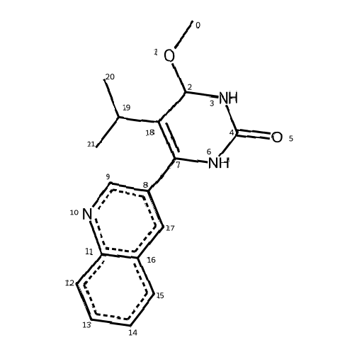 COC1NC(=O)NC(c2cnc3ccccc3c2)=C1C(C)C